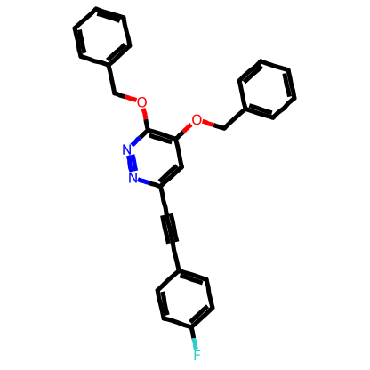 Fc1ccc(C#Cc2cc(OCc3ccccc3)c(OCc3ccccc3)nn2)cc1